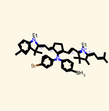 Bc1ccc(N(C2=C(/C=C/C3=[N+](CC)C(=C/C=C(C)C)/C(C)C3(C)C)CC/C2=C\C=C2\N(CC)c3ccc(C)cc3C2(C)C)c2c#cc(Br)cc2)cc1